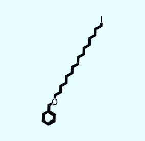 ICCCCCCCCCCCCCCCCOCc1ccccc1